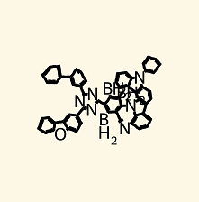 Bc1c(B)c(-n2c3ccccc3c3ccc4c(c5ccccc5n4-c4ccccc4)c32)c(C#N)c(B)c1-c1nc(-c2cccc(-c3ccccc3)c2)nc(-c2ccc3oc4ccccc4c3c2)n1